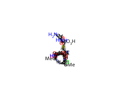 C=CC(C)C(=O)[C@H](CCCCN)NNC(=O)C(CCSSC(C)(C)CCC(=O)N(C)[C@@H](C)C(=O)O[C@H]1CC(=O)N(C)c2cc(cc(OC)c2Cl)C/C(C)=C/C=C/[C@@H](OC)[C@@]2(O)C[C@H](OC(=O)N2)[C@@H](C)[C@@H]2O[C@@]12C)S(=O)(=O)O